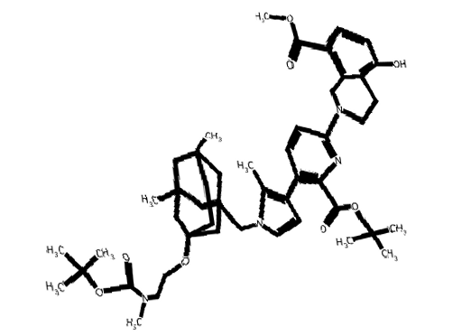 COC(=O)c1ccc(O)c2c1CN(c1ccc(-c3ccn(CC45CC6(C)CC(C)(C4)CC(OCCN(C)C(=O)OC(C)(C)C)(C6)C5)c3C)c(C(=O)OC(C)(C)C)n1)CC2